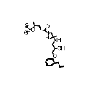 C=CCc1ccccc1OCC(O)CNC(C)(C)CNC(=O)CCC(C)O[N+](=O)[O-]